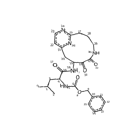 CC(C)CC(NC(=O)OCc1ccccc1)C(=O)NC1Cc2ccnc(n2)CCCNC(=O)C1=O